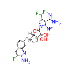 C=Nc1c(/C(N)=N\C)c(C(F)F)cn1[C@@H]1O[C@@H]2[C@H](Cc3ccc4cc(F)c(N)nc4c3)CC[C@]2(O)[C@H]1O